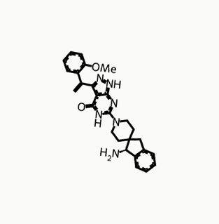 C=C(c1ccccc1OC)c1n[nH]c2nc(N3CCC4(CC3)Cc3ccccc3[C@H]4N)[nH]c(=O)c12